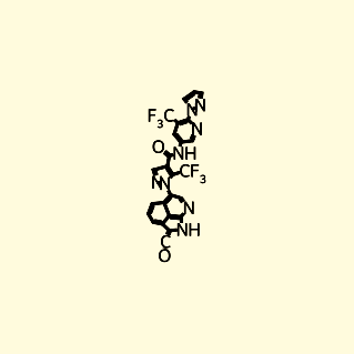 O=C=c1[nH]c2ncc(-n3ncc(C(=O)Nc4cnc(-n5cccn5)c(C(F)(F)F)c4)c3C(F)(F)F)c3cccc1c23